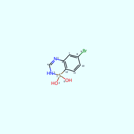 OS1(O)NC=Nc2cc(Br)ccc21